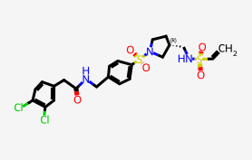 C=CS(=O)(=O)NC[C@H]1CCN(S(=O)(=O)c2ccc(CNC(=O)Cc3ccc(Cl)c(Cl)c3)cc2)C1